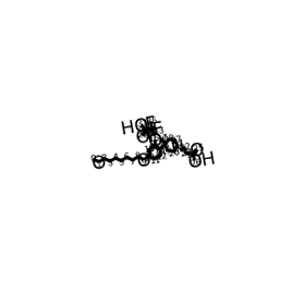 COCCCCCCCOc1ccc2c(c1)OCC21CCN(CCC(=O)O)CC1.O=C(O)C(F)(F)F